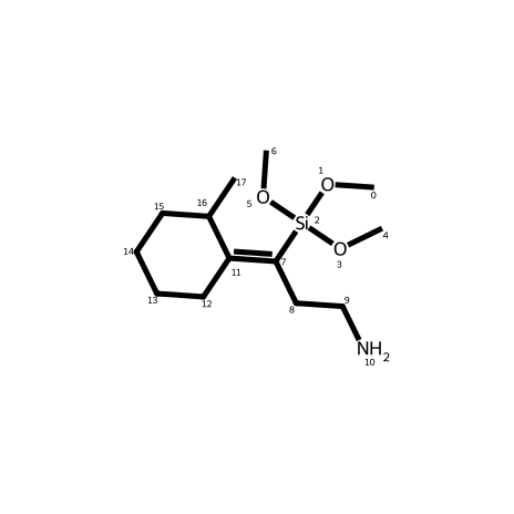 CO[Si](OC)(OC)C(CCN)=C1CCCCC1C